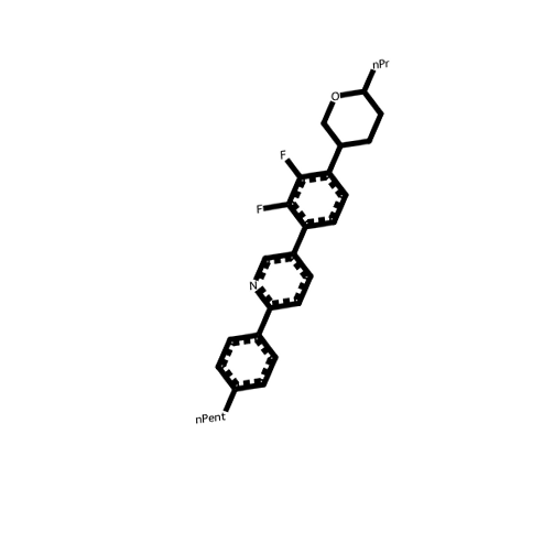 CCCCCc1ccc(-c2ccc(-c3ccc(C4CCC(CCC)OC4)c(F)c3F)cn2)cc1